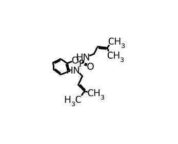 CC(C)=CCNP(=O)(NCC=C(C)C)Oc1ccccc1